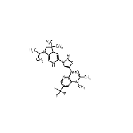 CC(=O)N(C)c1cc(C(F)(F)F)cnc1NC1=CN(C2=CC3C(=CN2)N(C(C)C)CC3(C)C)NS1